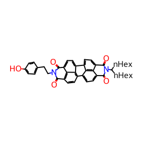 CCCCCCC(CCCCCC)N1C(=O)c2ccc3c4ccc5c6c(ccc(c7ccc(c2c37)C1=O)c64)C(=O)N(CCc1ccc(O)cc1)C5=O